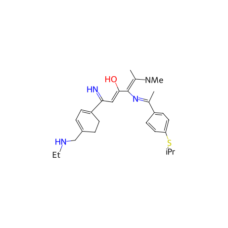 CCNCC1=CC=C(C(=N)/C=C(O)/C(/N=C(\C)c2ccc(SC(C)C)cc2)=C(\C)NC)CC1